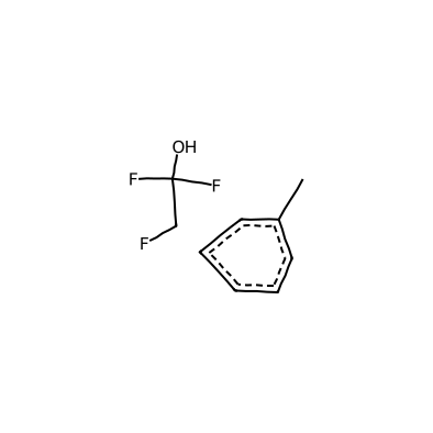 Cc1ccccc1.OC(F)(F)CF